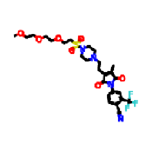 COCCOCCOCCS(=O)(=O)N1CCN(CCC2=C(C)C(=O)N(c3ccc(C#N)c(C(F)(F)F)c3)C2=O)CC1